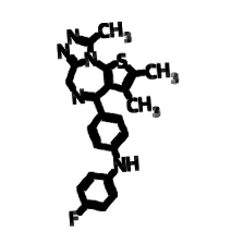 Cc1sc2c(c1C)C(c1ccc(Nc3ccc(F)cc3)cc1)=NCc1nnc(C)n1-2